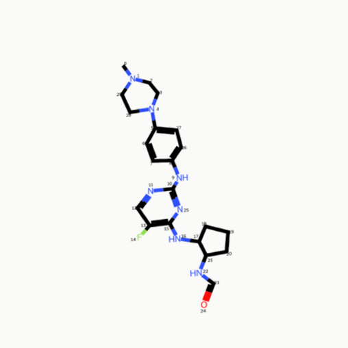 CN1CCN(c2ccc(Nc3ncc(F)c(NC4CCCC4NC=O)n3)cc2)CC1